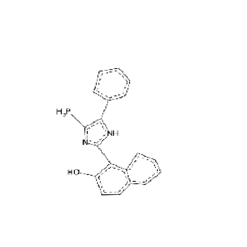 Oc1ccc2ccccc2c1-c1nc(P)c(-c2ccccc2)[nH]1